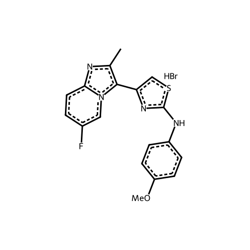 Br.COc1ccc(Nc2nc(-c3c(C)nc4ccc(F)cn34)cs2)cc1